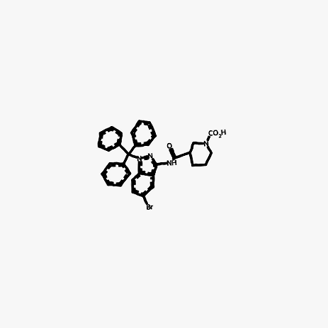 O=C(Nc1nn(C(c2ccccc2)(c2ccccc2)c2ccccc2)c2ccc(Br)cc12)C1CCCN(C(=O)O)C1